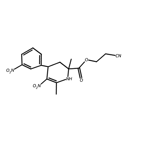 CC1=C([N+](=O)[O-])C(c2cccc([N+](=O)[O-])c2)CC(C)(C(=O)OCCC#N)N1